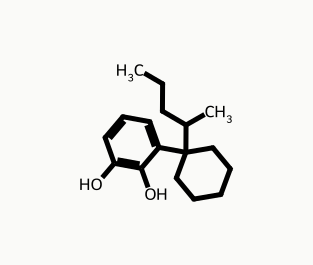 CCCC(C)C1(c2cccc(O)c2O)CCCCC1